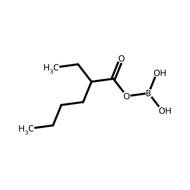 CCCCC(CC)C(=O)OB(O)O